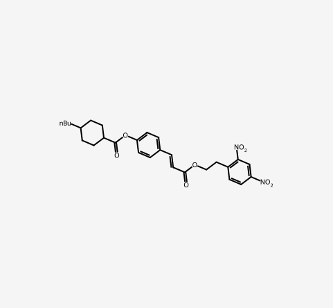 CCCCC1CCC(C(=O)Oc2ccc(C=CC(=O)OCCc3ccc([N+](=O)[O-])cc3[N+](=O)[O-])cc2)CC1